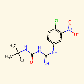 CC(C)(C)NC(=O)NC(=N)Nc1ccc(Cl)c([N+](=O)[O-])c1